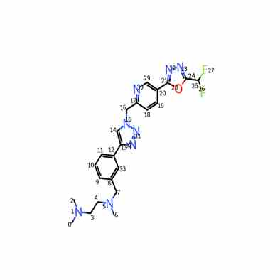 CN(C)CCN(C)Cc1cccc(-c2cn(Cc3ccc(-c4nnc(C(F)F)o4)cn3)nn2)c1